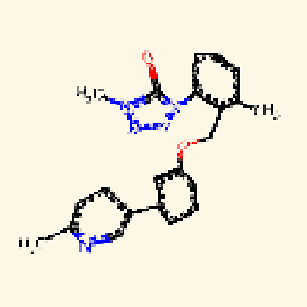 Cc1ccc(-c2cccc(OCc3c(C)cccc3-n3nnn(C)c3=O)c2)cn1